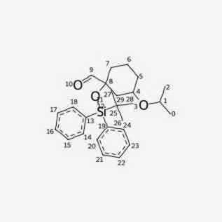 CC(C)OC1CCCC(C=O)(O[Si](c2ccccc2)(c2ccccc2)C(C)(C)C)C1